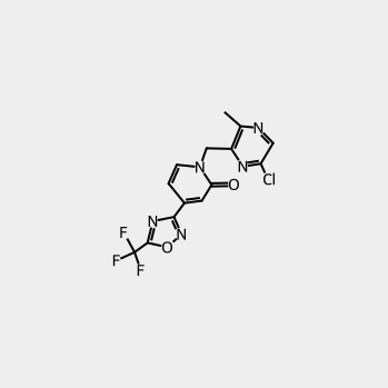 Cc1ncc(Cl)nc1Cn1ccc(-c2noc(C(F)(F)F)n2)cc1=O